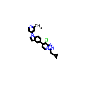 Cc1cc(-n2ccc3cc(-c4ccn5c(CC6CC6)nnc5c4Cl)ccc32)ccn1